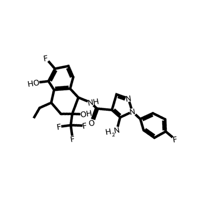 CCC1CC(O)(C(F)(F)F)C(NC(=O)c2cnn(-c3ccc(F)cc3)c2N)c2ccc(F)c(O)c21